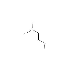 CC(C)N(CC[SiH2]Cl)C(C)C